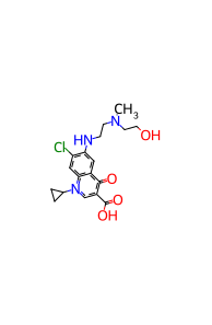 CN(CCO)CCNc1cc2c(=O)c(C(=O)O)cn(C3CC3)c2cc1Cl